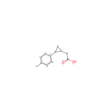 Cc1ccc(C2CC2CC(=O)O)cc1